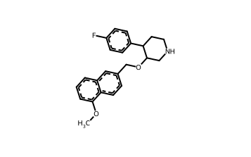 COc1cccc2cc(COC3CNCCC3c3ccc(F)cc3)ccc12